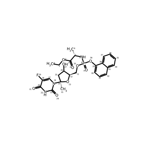 CCOC(=O)[C@H](C)NP(=O)(OC[C@H]1O[C@@](C)(n2cc(F)c(=O)[nH]c2=O)CC1O)Oc1cccc2ccccc12